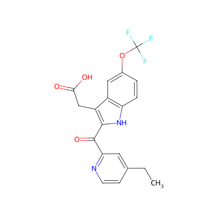 CCc1ccnc(C(=O)c2[nH]c3ccc(OC(F)(F)F)cc3c2CC(=O)O)c1